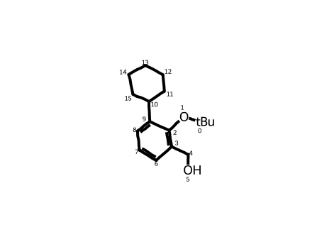 CC(C)(C)Oc1c(CO)cccc1C1CCCCC1